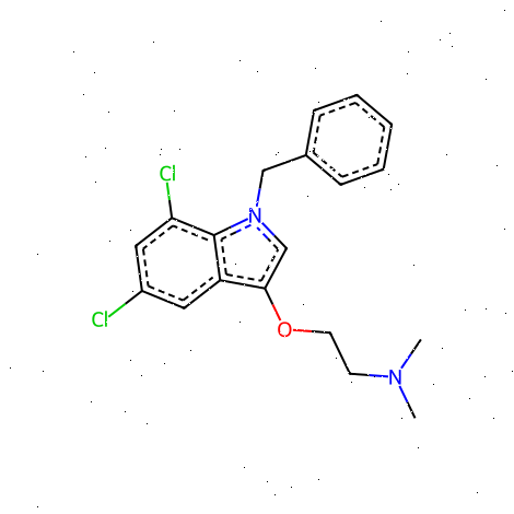 CN(C)CCOc1cn(Cc2ccccc2)c2c(Cl)cc(Cl)cc12